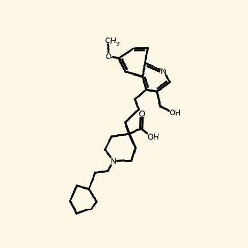 COc1ccc2ncc(CO)c(CCCC3(C(=O)O)CCN(CCC4CCCCC4)CC3)c2c1